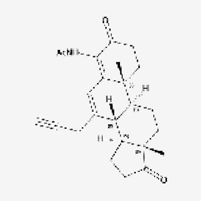 C#CCC1=CC2=C(NC(C)=O)C(=O)CC[C@]2(C)[C@H]2CC[C@]3(C)C(=O)CC[C@H]3[C@H]12